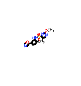 COc1nccc(S(=O)(=O)Nc2cc(-c3cnco3)ccc2C)n1